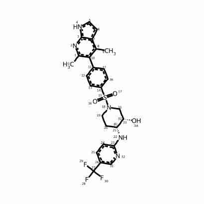 Cc1nc2[nH]ccc2c(C)c1-c1ccc(S(=O)(=O)N2CC[C@@H](Nc3ccc(C(F)(F)F)cn3)[C@@H](O)C2)cc1